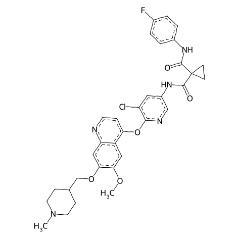 COc1cc2c(Oc3ncc(NC(=O)C4(C(=O)Nc5ccc(F)cc5)CC4)cc3Cl)ccnc2cc1OCC1CCN(C)CC1